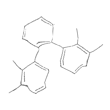 Cc1cccc(-c2[c]cccc2-c2cccc(C)c2C)c1C